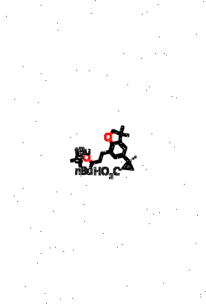 CCCCC(CCc1cc([C@@]2(C)C[C@@H]2C(=O)O)cc2c1OCC2(C)C)O[Si](C)(C)C(C)(C)C